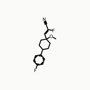 COC1(C=C(F)C#N)CCC(c2ccc(F)cc2)CC1